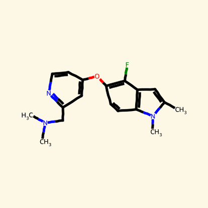 Cc1cc2c(F)c(Oc3ccnc(CN(C)C)c3)ccc2n1C